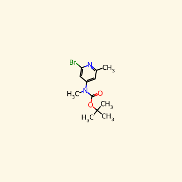 Cc1cc(N(C)C(=O)OC(C)(C)C)cc(Br)n1